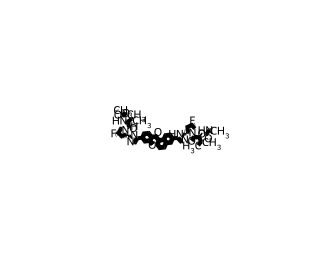 CNC(=O)O[C@H](C(=O)N1C[C@H](F)C[C@H]1c1ncc(-c2ccc3c(ccc4oc5cc(-c6cnc([C@@H]7C[C@@H](F)CN7C(=O)[C@@H](NC(=O)OC)C(C)C)[nH]6)ccc5c(=O)c43)c2)[nH]1)C(C)C